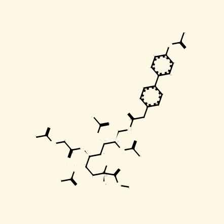 COC(=O)[C@]1(O)C[C@H](OC(C)=O)[C@@H](NC(=O)COC(C)=O)[C@H]([C@H](OC(C)=O)[C@@H](CNC(=O)Cc2ccc(-c3ccc(OC(C)=O)cc3)cc2)OC(C)=O)O1